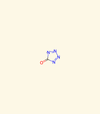 O=C1N=NN=[N+]1